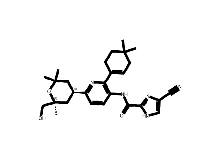 CC1(C)CC=C(c2nc([C@@H]3CC(C)(C)O[C@](C)(CO)C3)ccc2NC(=O)c2nc(C#N)c[nH]2)CC1